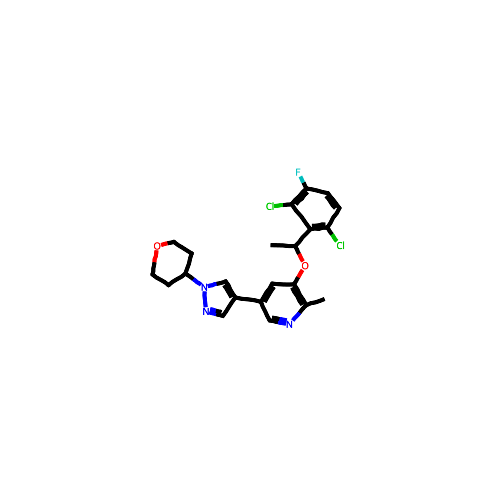 Cc1ncc(-c2cnn(C3CCOCC3)c2)cc1OC(C)c1c(Cl)ccc(F)c1Cl